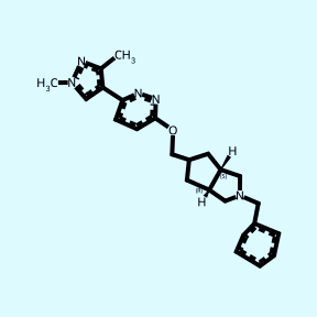 Cc1nn(C)cc1-c1ccc(OCC2C[C@@H]3CN(Cc4ccccc4)C[C@@H]3C2)nn1